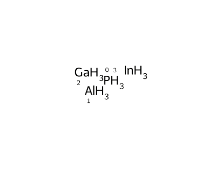 P.[AlH3].[GaH3].[InH3]